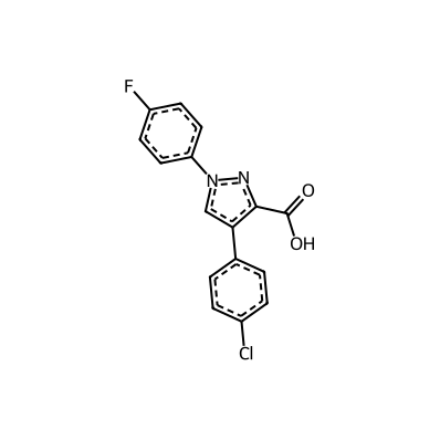 O=C(O)c1nn(-c2ccc(F)cc2)cc1-c1ccc(Cl)cc1